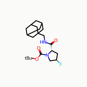 CC(C)(C)OC(=O)N1C[C@H](F)C[C@H]1C(=O)NCC12CC3CC(CC(C3)C1)C2